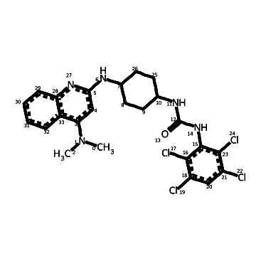 CN(C)c1cc(NC2CCC(NC(=O)Nc3c(Cl)c(Cl)cc(Cl)c3Cl)CC2)nc2ccccc12